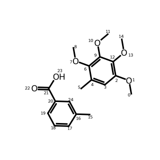 COc1cc(C)c(OC)c(OC)c1OC.Cc1cccc(C(=O)O)c1